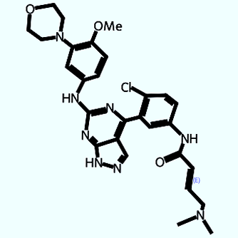 COc1ccc(Nc2nc(-c3cc(NC(=O)/C=C/CN(C)C)ccc3Cl)c3cn[nH]c3n2)cc1N1CCOCC1